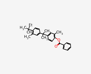 CCC(C)(C)c1ccc(C(C)(C)c2ccc(OC(=O)c3ccccc3)c(C)c2)cc1C